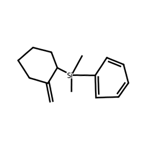 C=C1CCCCC1[Si](C)(C)c1ccccc1